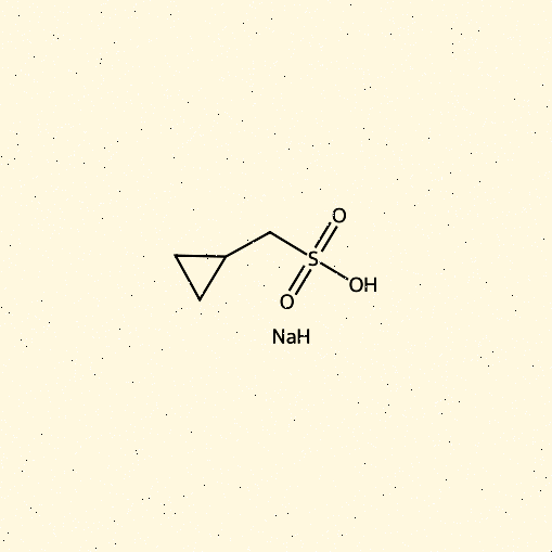 O=S(=O)(O)CC1CC1.[NaH]